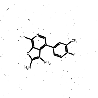 CCCc1ncc(-c2ccc(F)c(C(F)(F)F)c2)c2c(N)c(N)oc12